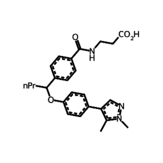 CCCC(Oc1ccc(-c2cnn(C)c2C)cc1)c1ccc(C(=O)NCCC(=O)O)cc1